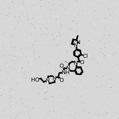 Cc1ccn(-c2ccc(C(=O)N3C[C@@H](C)N(C(=O)NCC(=O)N4CCN(CCO)CC4)Cc4ccccc43)c(Cl)c2)n1